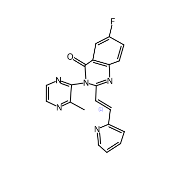 Cc1nccnc1-n1c(/C=C/c2ccccn2)nc2ccc(F)cc2c1=O